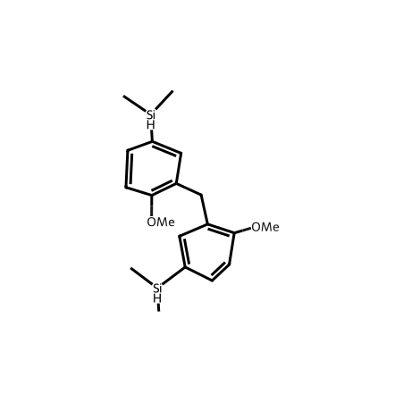 COc1ccc([SiH](C)C)cc1Cc1cc([SiH](C)C)ccc1OC